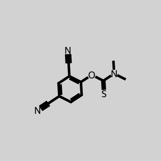 CN(C)C(=S)Oc1ccc(C#N)cc1C#N